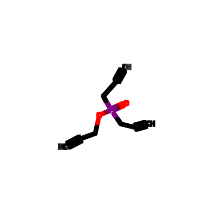 C#CCOP(=O)(CC#C)CC#C